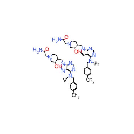 CC(C)N(Cc1ccc(C(F)(F)F)cc1)c1ncnc2c1ccn2CC1CCN(CC(N)=O)CC1O.NC(=O)CN1CCC(Cn2cnc3c(N(Cc4ccc(C(F)(F)F)cc4)C4CC4)ncnc32)C(O)C1